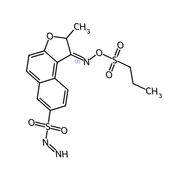 CCCS(=O)(=O)O/N=C1/c2c(ccc3cc(S(=O)(=O)N=N)ccc23)OC1C